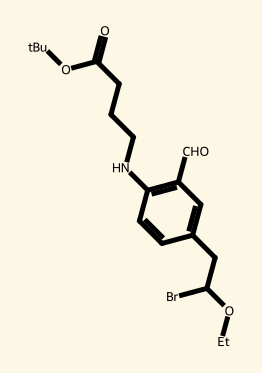 CCOC(Br)Cc1ccc(NCCCC(=O)OC(C)(C)C)c(C=O)c1